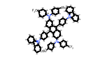 CC(C)(C)c1ccc(N(c2ccc(C(F)(F)F)cc2)c2ccc3c(-c4ccc(-n5c6ccccc6c6ccccc65)cc4)c4cc(N(c5ccc(C(C)(C)C)cc5)c5ccc(C(F)(F)F)cc5)ccc4c(-c4ccc(-n5c6ccccc6c6ccccc65)cc4)c3c2)cc1